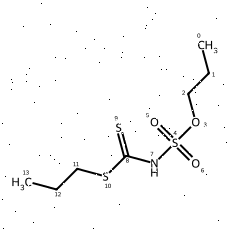 CCCOS(=O)(=O)NC(=S)SCCC